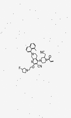 C=CC(=O)N1CCN(c2c(C#N)c(OCCN3CCC(F)C3)nc3c2CCN(c2cccc4cccc(C)c24)C3)CC1CC#N